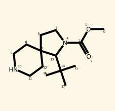 COC(=O)N1CCC2(CCNCC2)C1C(C)(C)C